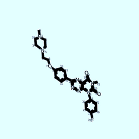 CN1CCN(CCOc2ccc(-c3nnc4c(n3)c(=O)n(C)c(=O)n4-c3ccc(F)cc3)cc2)CC1